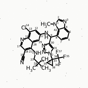 Cn1cnc2cccc(C(Nc3cc(Cl)c4ncc(C#N)c(NCC(C)(C)C)c4c3)c3cn(C4(C(F)(F)F)CC4)nn3)c21